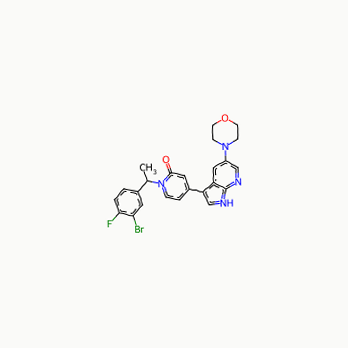 CC(c1ccc(F)c(Br)c1)n1ccc(-c2c[nH]c3ncc(N4CCOCC4)cc23)cc1=O